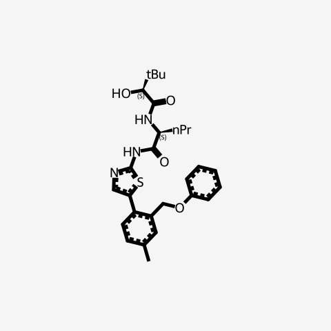 CCC[C@H](NC(=O)[C@@H](O)C(C)(C)C)C(=O)Nc1ncc(-c2ccc(C)cc2COc2ccccc2)s1